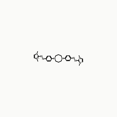 Cn1cc[n+](C)c1N=Nc1ccc(N2CCCN(c3ccc(N=Nc4n(C)cc[n+]4C)cc3)CCC2)cc1